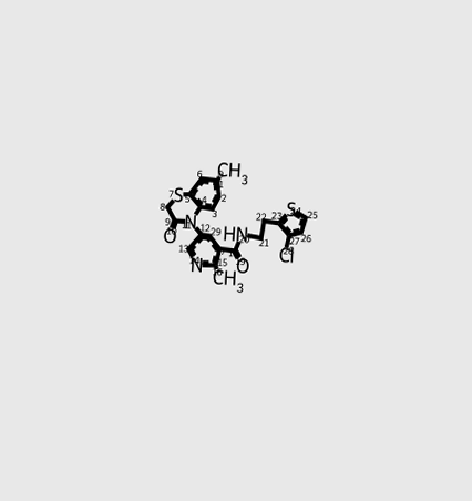 Cc1ccc2c(c1)SCC(=O)N2c1cnc(C)c(C(=O)NCCc2sccc2Cl)c1